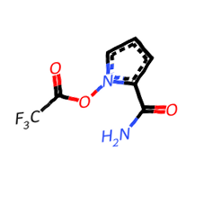 NC(=O)c1cccn1OC(=O)C(F)(F)F